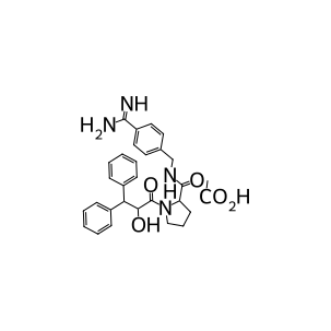 CC(=O)O.N=C(N)c1ccc(CNC(=O)C2CCCN2C(=O)C(O)C(c2ccccc2)c2ccccc2)cc1